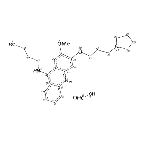 COc1cc2c(NCCCC#N)c3ccccc3nc2cc1OCCCN1CCCC1.O=CO